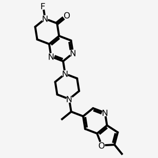 Cc1cc2ncc(C(C)N3CCN(c4ncc5c(n4)CCN(F)C5=O)CC3)cc2o1